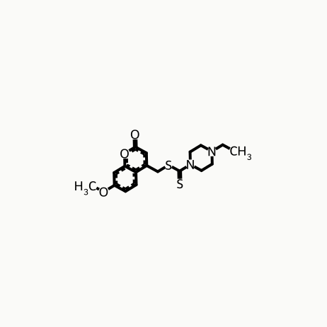 CCN1CCN(C(=S)SCc2cc(=O)oc3cc(OC)ccc23)CC1